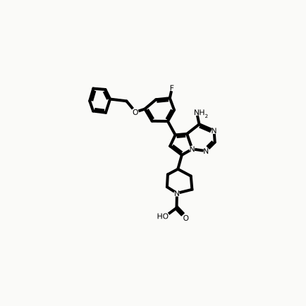 Nc1ncnn2c(C3CCN(C(=O)O)CC3)cc(-c3cc(F)cc(OCc4ccccc4)c3)c12